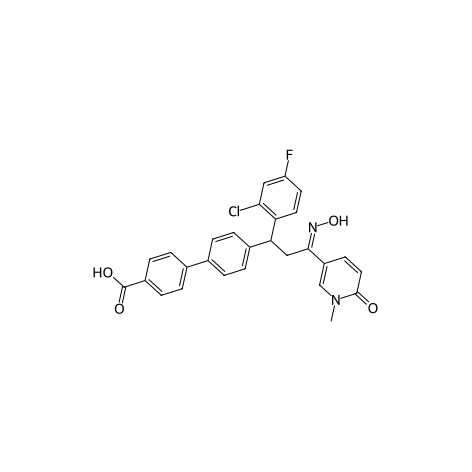 Cn1cc(/C(CC(c2ccc(-c3ccc(C(=O)O)cc3)cc2)c2ccc(F)cc2Cl)=N\O)ccc1=O